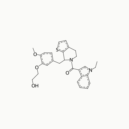 CCn1cc(C(=O)N2CCc3ccsc3C2Cc2ccc(OC)c(OCCO)c2)c2ccccc21